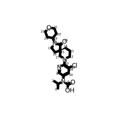 CC(C)N(C(=O)O)c1cnc(N2CCC[C@]3(CCN(C4CCOCC4)C3=O)C2)c(Cl)c1